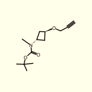 C#CCO[C@H]1C[C@H](N(C)C(=O)OC(C)(C)C)C1